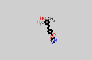 Cc1cc(CCc2ccc(C(=O)Oc3cncnc3)cc2)cc(C)c1O